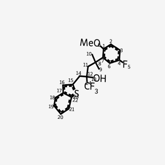 COc1ccc(F)cc1C(C)(C)CC(O)(Cc1cc2ccccc2s1)C(F)(F)F